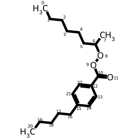 CCCCCC[C](C)OOC(=O)c1ccc(CCCCC)cc1